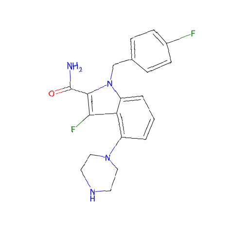 NC(=O)c1c(F)c2c(N3CCNCC3)cccc2n1Cc1ccc(F)cc1